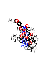 CC[C@H](C)[C@@H]([C@@H](CC(=O)N1C[C@H](OC)C[C@H]1[C@H](OC)[C@@H](C)C(=O)NCC(=O)c1ccc(OC)cc1)OC)N(C)C(=O)[C@@H](NC(=O)[C@@H](NC)C(C)C)C(C)C